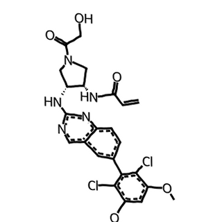 C=CC(=O)N[C@H]1CN(C(=O)CO)C[C@H]1Nc1ncc2cc(-c3c(Cl)c(OC)cc(OC)c3Cl)ccc2n1